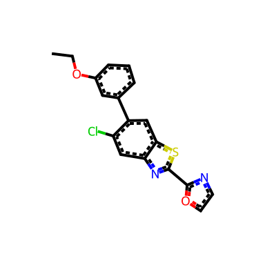 CCOc1cccc(-c2cc3sc(-c4ncco4)nc3cc2Cl)c1